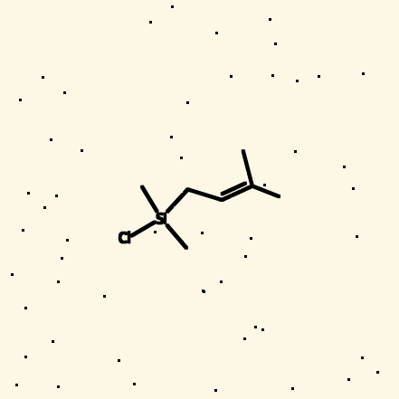 CC(C)=CC[Si](C)(C)Cl